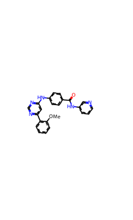 COc1ccccc1-c1cc(Nc2ccc(C(=O)Nc3cccnc3)cc2)ncn1